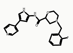 O=C(Nc1cc(-c2ccncc2)c[nH]1)C1CN(Cc2ccccc2F)CCO1